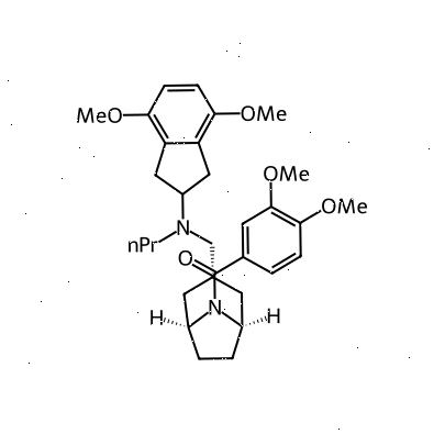 CCCN(C[C@@H]1C[C@H]2CC[C@@H](C1)N2C(=O)c1ccc(OC)c(OC)c1)C1Cc2c(OC)ccc(OC)c2C1